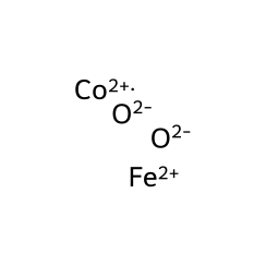 [Co+2].[Fe+2].[O-2].[O-2]